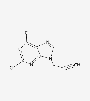 C#CCn1cnc2c(Cl)nc(Cl)nc21